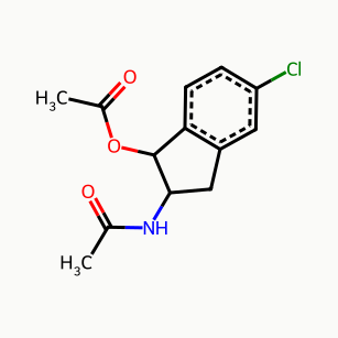 CC(=O)NC1Cc2cc(Cl)ccc2C1OC(C)=O